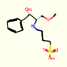 COC[C@H](NCCCS(=O)(=O)O)[C@@H](O)c1ccccc1